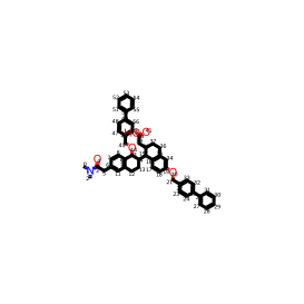 CN(C)C(=O)Cc1ccc2c(c1)CCC(C1c3ccc(OCc4ccc(-c5ccccc5)cc4)cc3CCC1CC(=O)O)C2OCc1ccc(-c2ccccc2)cc1